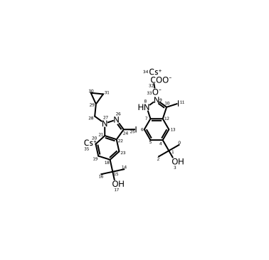 CC(C)(O)c1ccc2[nH]nc(I)c2c1.CC(C)(O)c1ccc2c(c1)c(I)nn2CC1CC1.O=C([O-])[O-].[Cs+].[Cs+]